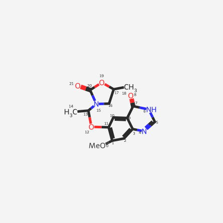 COc1cc2nc[nH]c(=O)c2cc1OC(C)N1CC(C)OC1=O